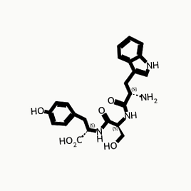 N[C@@H](Cc1c[nH]c2ccccc12)C(=O)N[C@@H](CO)C(=O)N[C@@H](Cc1ccc(O)cc1)C(=O)O